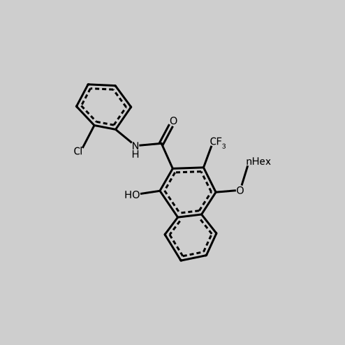 CCCCCCOc1c(C(F)(F)F)c(C(=O)Nc2ccccc2Cl)c(O)c2ccccc12